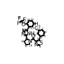 Cc1cccc(-c2scnc2C(=O)N2CCCC2c2nnc(-c3ccccc3OC(F)(F)F)[nH]2)c1